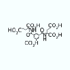 O=C(O)CC[C@H](NC(=O)c1cc(C(=O)O)cc(C(=O)N[C@@H](CCC(=O)O)C(=O)O)c1)C(=O)O